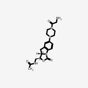 CC(=O)NC[C@@H]1OC(=O)N2c3ccc(N4CCN(C(=O)CN)CC4)cc3C[C@@H]12